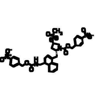 CS(=O)(=O)O[C@@H]1C[C@@H](Cc2ccc(CNC(=O)OCc3ccc([N+](=O)[O-])cc3)c3ccccc23)N(C(=O)OCc2ccc([N+](=O)[O-])cc2)C1